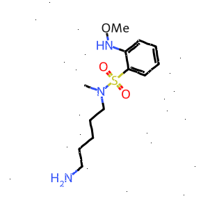 CONc1ccccc1S(=O)(=O)N(C)CCCCCN